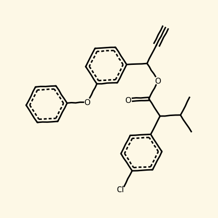 C#CC(OC(=O)C(c1ccc(Cl)cc1)C(C)C)c1cccc(Oc2ccccc2)c1